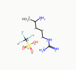 N=C(N)NCCCC(N)C(=O)O.O=S(=O)(O)C(F)(F)F